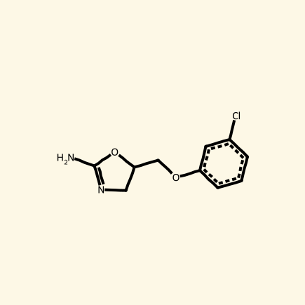 NC1=NCC(COc2cccc(Cl)c2)O1